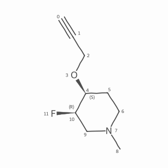 C#CCO[C@H]1CCN(C)C[C@H]1F